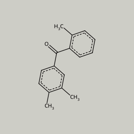 Cc1ccc(C(=O)c2ccccc2C)cc1C